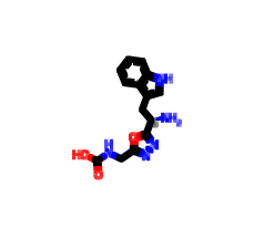 N[C@@H](Cc1c[nH]c2ccccc12)c1nnc(CNC(=O)O)o1